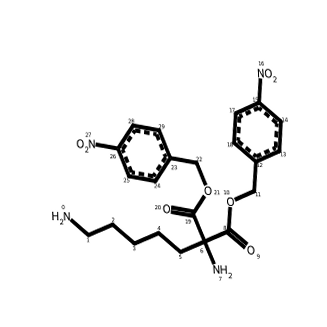 NCCCCCC(N)(C(=O)OCc1ccc([N+](=O)[O-])cc1)C(=O)OCc1ccc([N+](=O)[O-])cc1